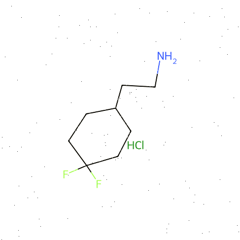 Cl.NCCC1CCC(F)(F)CC1